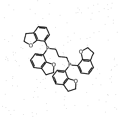 c1cc2c(c(P(CCCP(c3cccc4c3OCC4)c3cccc4c3OCC4)c3cccc4c3OCC4)c1)OCC2